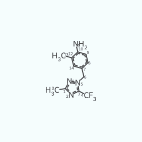 Cc1nc(C(F)(F)F)n(Cc2ccc(N)c(C)c2)n1